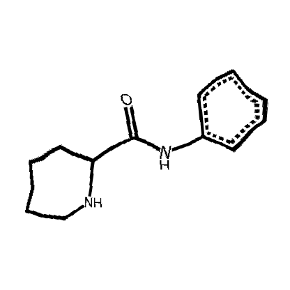 O=C(Nc1ccccc1)C1CCCCN1